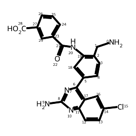 NCc1ccc(-c2nc(N)nc3ccc(Cl)cc23)cc1NC(=O)c1cccc(C(=O)O)c1